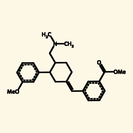 COC(=O)c1cccc(C=C2CCC(CN(C)C)C(c3cccc(OC)c3)C2)c1